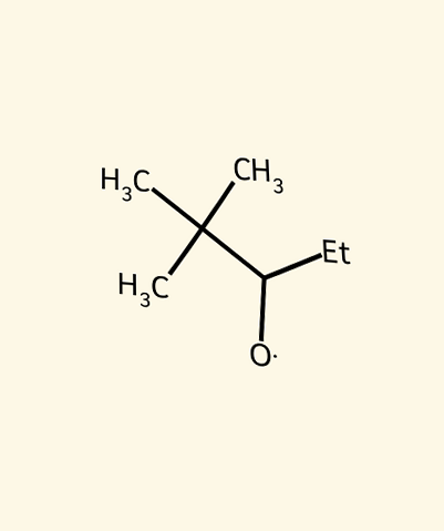 CCC([O])C(C)(C)C